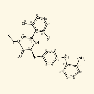 CCOC(=O)[C@H](Cc1ccc(Nc2ncccc2N)cc1)NC(=O)c1c(Cl)cncc1Cl